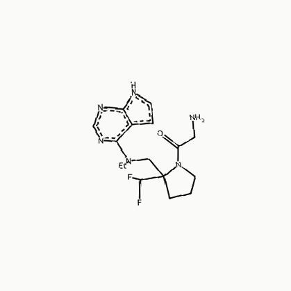 CCN(CC1(C(F)F)CCCN1C(=O)CN)c1ncnc2[nH]ccc12